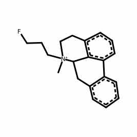 C[N+]1(CCCF)CCc2cccc3c2C1Cc1ccccc1-3